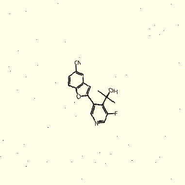 CC(C)(O)c1c(F)cncc1-c1cc2cc(C#N)ccc2o1